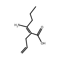 C=CC/C(C(=O)O)=C(\N)CCC